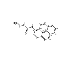 C=COC(=O)Oc1ccc2ccc3cccc4ccc1c2c34